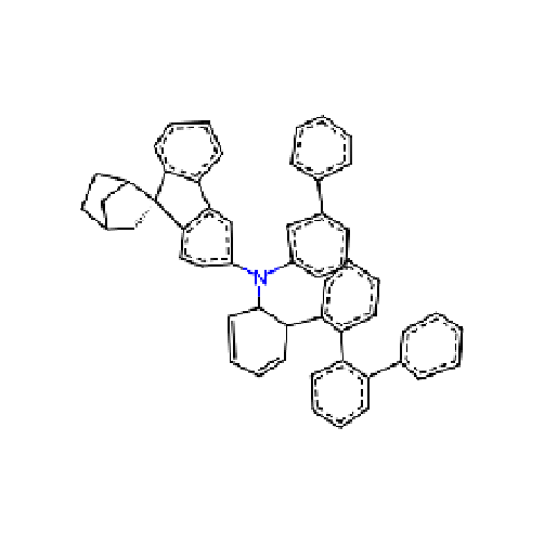 C1=CC(c2ccccc2-c2ccccc2-c2ccccc2)C(N(c2cccc(-c3ccccc3)c2)c2ccc3c(c2)-c2ccccc2[C@@]32CC3CCC2C3)C=C1